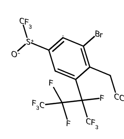 [O-][S+](c1[c]c(Br)c(CC(Cl)(Cl)Cl)c(C(F)(C(F)(F)F)C(F)(F)C(F)(F)F)c1)C(F)(F)F